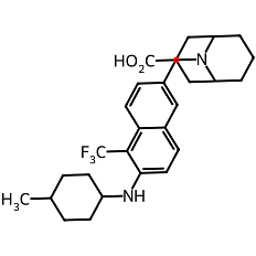 CC1CCC(Nc2ccc3cc(CN4C5CCCC4CC(C(=O)O)C5)ccc3c2C(F)(F)F)CC1